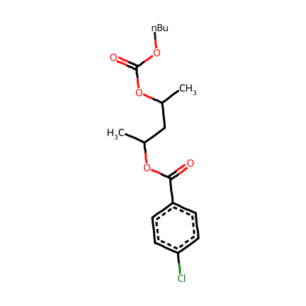 CCCCOC(=O)OC(C)CC(C)OC(=O)c1ccc(Cl)cc1